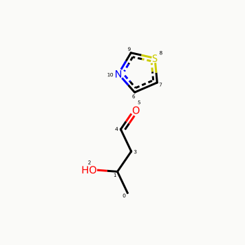 CC(O)CC=O.c1cscn1